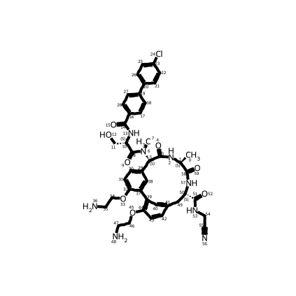 C[C@@H]1NC(=O)[C@@H](N(C)C(=O)[C@H](CO)NC(=O)c2ccc(-c3ccc(Cl)cc3)cc2)c2ccc(OCCN)c(c2)-c2cc(ccc2OCCN)C[C@@H](C(=O)NCC#N)NC1=O